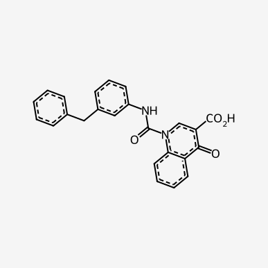 O=C(O)c1cn(C(=O)Nc2cccc(Cc3ccccc3)c2)c2ccccc2c1=O